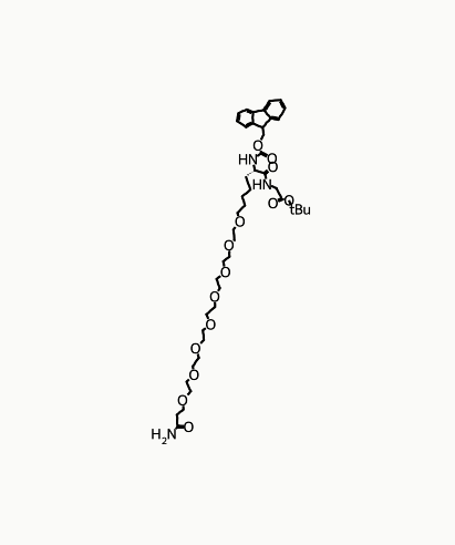 CC(C)(C)OC(=O)CNC(=O)[C@H](CCCCCOCCOCCOCCOCCOCCOCCOCCOCCC(N)=O)NC(=O)OCC1c2ccccc2-c2ccccc21